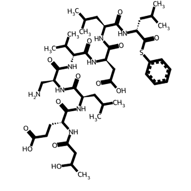 CC(C)C[C@H](NC(=O)[C@@H](CC(=O)O)NC(=O)[C@H](NC(=O)[C@H](CN)NC(=O)[C@@H](CC(C)C)NC(=O)[C@@H](CCC(=O)O)NC(=O)CC(C)O)C(C)C)C(=O)N[C@H](CC(C)C)C(=O)Sc1ccccc1